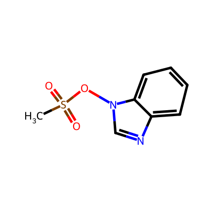 CS(=O)(=O)On1cnc2ccccc21